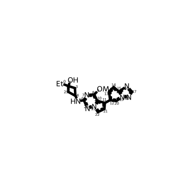 CCC1(O)CC(Nc2nc(OC)c3c(-c4ccc5ncnn5c4)ccn3n2)C1